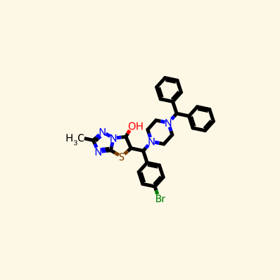 Cc1nc2n(n1)C(O)C(C(c1ccc(Br)cc1)N1CCN(C(c3ccccc3)c3ccccc3)CC1)S2